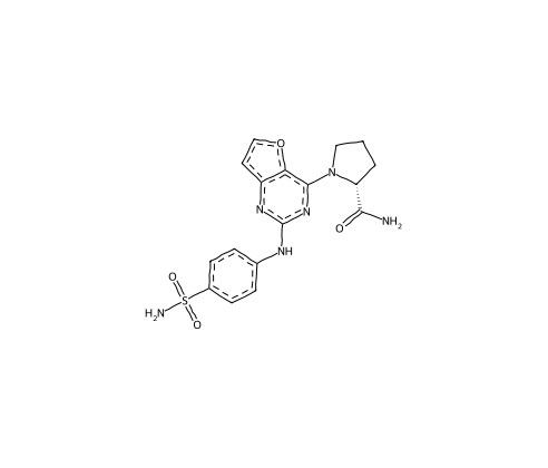 NC(=O)[C@H]1CCCN1c1nc(Nc2ccc(S(N)(=O)=O)cc2)nc2ccoc12